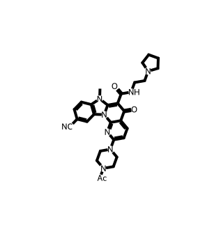 CC(=O)N1CCN(c2ccc3c(=O)c(C(=O)NCCN4CCCC4)c4n(C)c5ccc(C#N)cc5n4c3n2)CC1